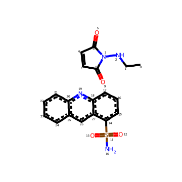 CCNN1C(=O)C=CC1=O.NS(=O)(=O)c1cccc2nc3ccccc3cc12